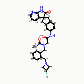 CC(C)(C)C(=O)N(CC(=O)Nc1ccc2c(c1)CC1(C2)C(=O)Nc2ncccc21)Cc1ccccc1CN1CC(F)C1